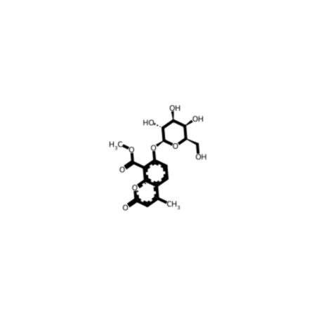 COC(=O)c1c(O[C@@H]2O[C@H](CO)[C@H](O)[C@H](O)[C@H]2O)ccc2c(C)cc(=O)oc12